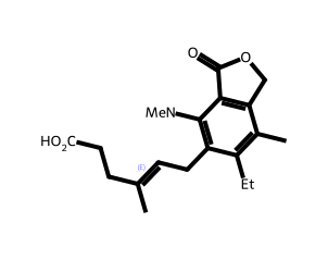 CCc1c(C)c2c(c(NC)c1C/C=C(\C)CCC(=O)O)C(=O)OC2